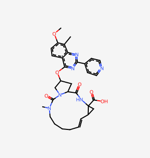 COc1ccc2c(OC3CC4C(=O)NC5(C(=O)O)CC5/C=C/CCCCN(C)C(=O)N4C3)nc(-c3ccncc3)nc2c1C